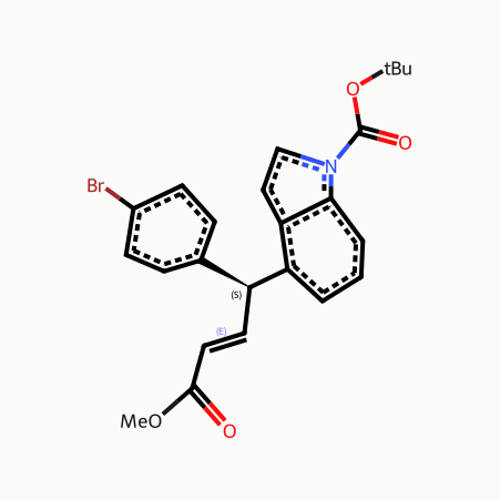 COC(=O)/C=C/[C@@H](c1ccc(Br)cc1)c1cccc2c1ccn2C(=O)OC(C)(C)C